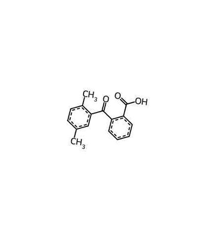 Cc1ccc(C)c(C(=O)c2ccccc2C(=O)O)c1